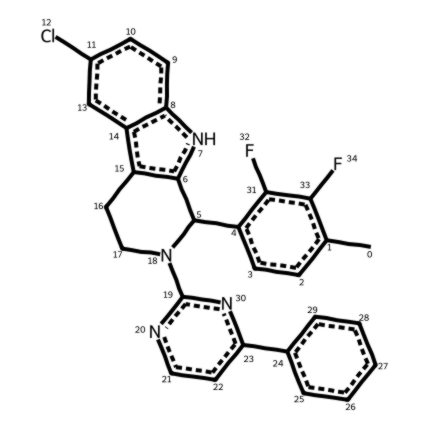 Cc1ccc(C2c3[nH]c4ccc(Cl)cc4c3CCN2c2nccc(-c3ccccc3)n2)c(F)c1F